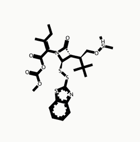 CCC(C)=C(C(=O)OC(=O)OC)N1C(=O)[C@H]([C@@H](CO[SiH](C)C)C(C)(C)C)[C@H]1SSc1nc2ccccc2s1